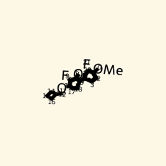 COc1ccc2c(oc3c(F)c(OCC4CCC4)ccc32)c1F